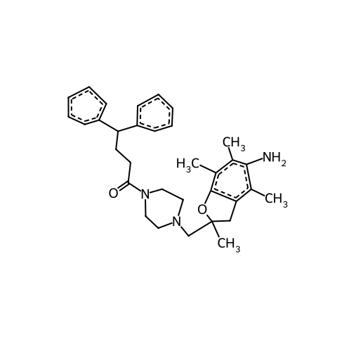 Cc1c(C)c2c(c(C)c1N)CC(C)(CN1CCN(C(=O)CCC(c3ccccc3)c3ccccc3)CC1)O2